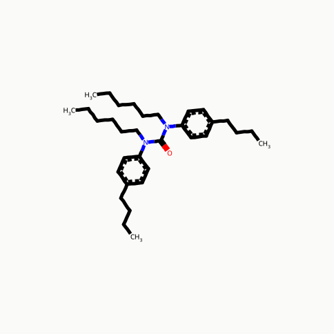 CCCCCCN(C(=O)N(CCCCCC)c1ccc(CCCC)cc1)c1ccc(CCCC)cc1